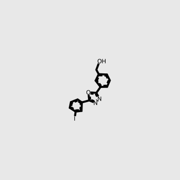 OCc1cccc(-c2nnc(-c3cccc(I)c3)o2)c1